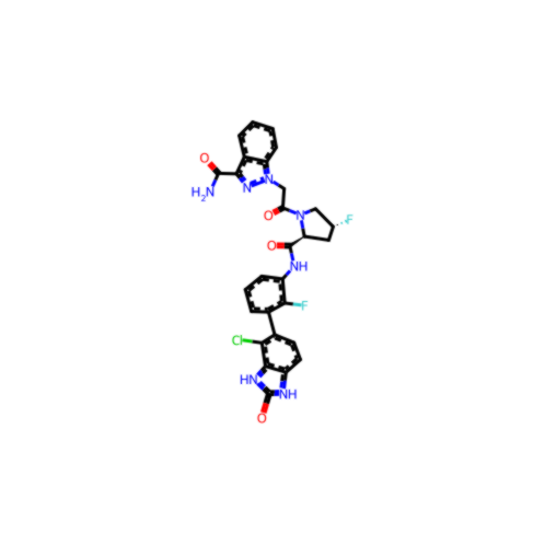 NC(=O)c1nn(CC(=O)N2C[C@H](F)C[C@H]2C(=O)Nc2cccc(-c3ccc4[nH]c(=O)[nH]c4c3Cl)c2F)c2ccccc12